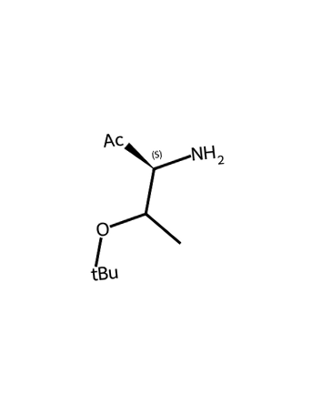 CC(=O)[C@@H](N)C(C)OC(C)(C)C